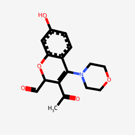 CC(=O)C1=C(N2CCOCC2)c2ccc(O)cc2OC1C=O